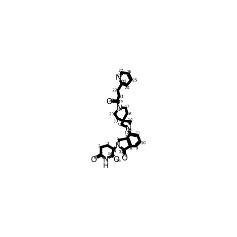 O=C1CCC(N2Cc3c(cccc3N3CC4(CCN(C(=O)CCc5ccccn5)CC4)C3)C2=O)C(=O)N1